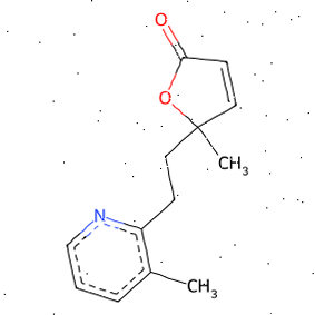 Cc1cccnc1CCC1(C)C=CC(=O)O1